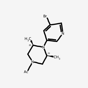 CC(=O)N1C[C@@H](C)N(c2cncc(Br)c2)[C@@H](C)C1